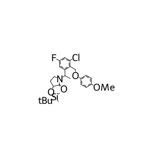 COc1ccc(OCc2c(Cl)cc(F)cc2C(C)N2CC[C@H](O[Si](C)(C)C(C)(C)C)C2=O)cc1